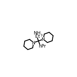 CCCC(CC)(N1CCCCC1)N1CCCCC1.N